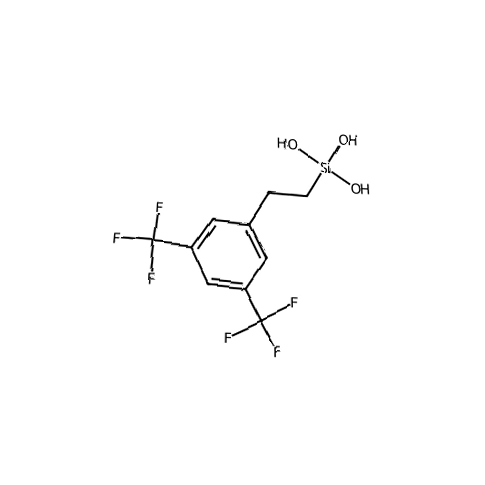 O[Si](O)(O)CCc1cc(C(F)(F)F)cc(C(F)(F)F)c1